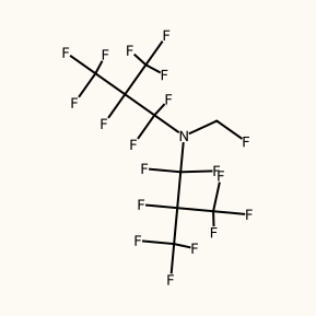 FCN(C(F)(F)C(F)(C(F)(F)F)C(F)(F)F)C(F)(F)C(F)(C(F)(F)F)C(F)(F)F